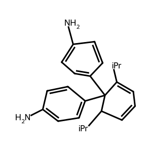 CC(C)C1=CC=CC(C(C)C)C1(c1ccc(N)cc1)c1ccc(N)cc1